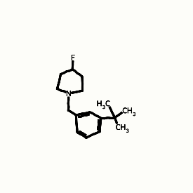 CC(C)(C)c1cccc(CN2CCC(F)CC2)c1